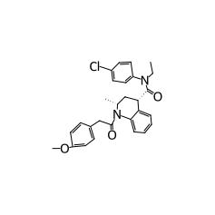 CCN(C(=O)[C@H]1C[C@@H](C)N(C(=O)Cc2ccc(OC)cc2)c2ccccc21)c1ccc(Cl)cc1